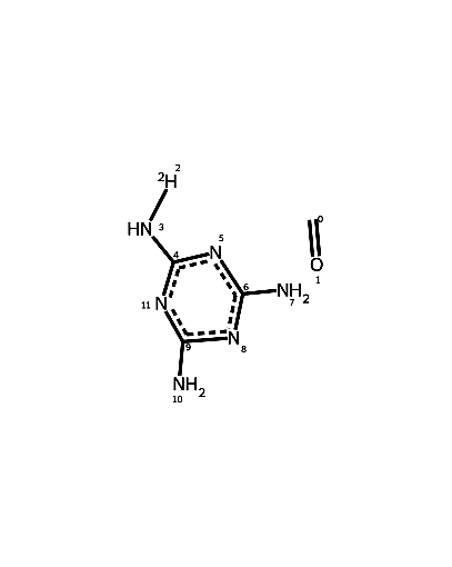 C=O.[2H]Nc1nc(N)nc(N)n1